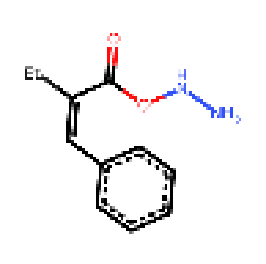 CCC(=Cc1ccccc1)C(=O)ONN